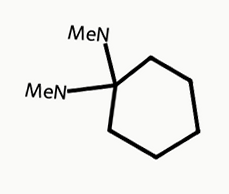 CNC1(NC)CCCCC1